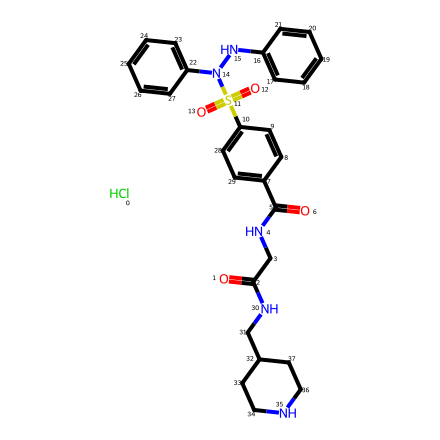 Cl.O=C(CNC(=O)c1ccc(S(=O)(=O)N(Nc2ccccc2)c2ccccc2)cc1)NCC1CCNCC1